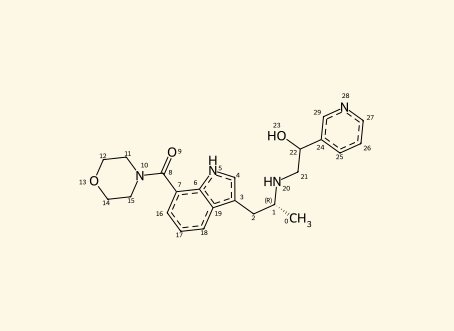 C[C@H](Cc1c[nH]c2c(C(=O)N3CCOCC3)cccc12)NCC(O)c1cccnc1